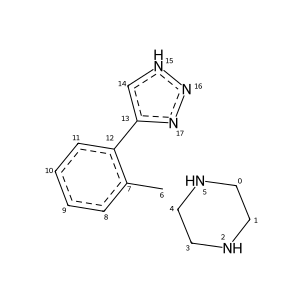 C1CNCCN1.Cc1ccccc1-c1c[nH]nn1